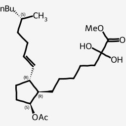 CCCC[C@H](C)CCC=C[C@H]1CC[C@H](OC(C)=O)[C@@H]1CCCCCC(O)(O)C(=O)OC